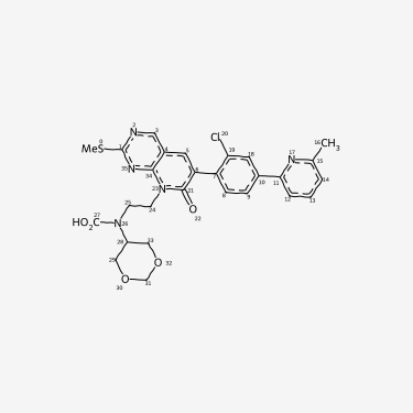 CSc1ncc2cc(-c3ccc(-c4cccc(C)n4)cc3Cl)c(=O)n(CCN(C(=O)O)C3COCOC3)c2n1